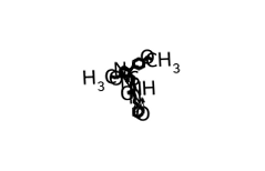 COc1ncc(C2=CCC(OC)CC2)c2sc(NC(=O)N3CC[C@]4(CCCOC4)C3)nc12